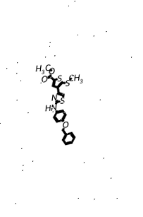 COC(=O)c1cc(-c2csc(Nc3ccc(OCc4ccccc4)cc3)n2)c(SC)s1